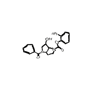 CCCc1ccccc1OC(=O)N1CCC2C1C(O)CN2C(=O)c1ccccc1